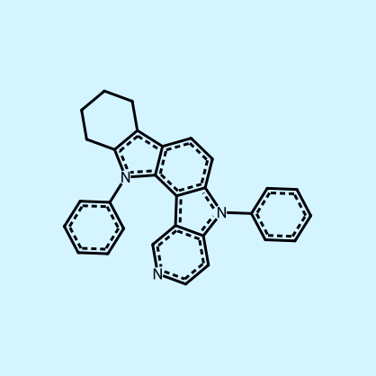 c1ccc(-n2c3c(c4ccc5c(c6cnccc6n5-c5ccccc5)c42)CCCC3)cc1